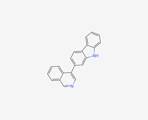 c1ccc2c(-c3ccc4c(c3)[nH]c3ccccc34)cncc2c1